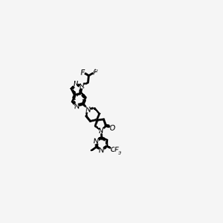 Cc1nc(N2CC3(CCN(c4cc5c(cn4)cnn5CC(F)F)CC3)CC2=O)cc(C(F)(F)F)n1